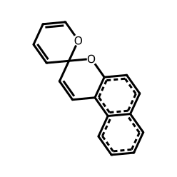 C1=COC2(C=C1)C=Cc1c(ccc3ccccc13)O2